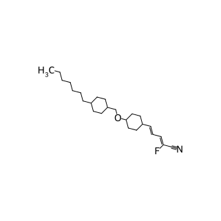 CCCCCCCC1CCC(COC2CCC(C=CC=C(F)C#N)CC2)CC1